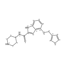 O=C(NC1CCNCC1)c1cc2c(OCc3ccoc3)cccc2[nH]1